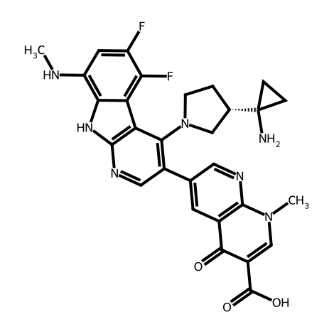 CNc1cc(F)c(F)c2c1[nH]c1ncc(-c3cnc4c(c3)c(=O)c(C(=O)O)cn4C)c(N3CC[C@H](C4(N)CC4)C3)c12